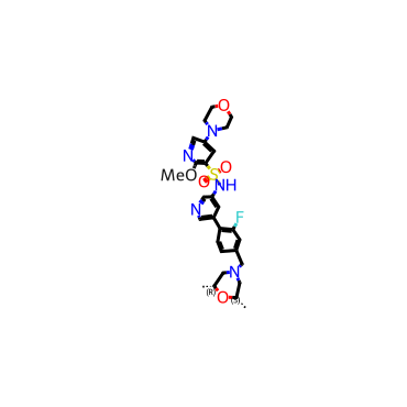 COc1ncc(N2CCOCC2)cc1S(=O)(=O)Nc1cncc(-c2ccc(CN3C[C@@H](C)O[C@@H](C)C3)cc2F)c1